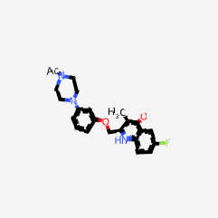 CC(=O)N1CCN(c2cccc(OCc3[nH]c4ccc(F)cc4c(=O)c3C)c2)CC1